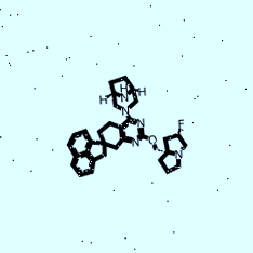 F[C@H]1CN2CCC[C@@]2(COc2nc3c(c(N4C[C@H]5CC[C@@H](C4)N5)n2)CCC2(C3)Cc3cccc4cccc2c34)C1